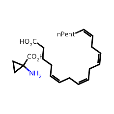 CCCCC/C=C\C/C=C\C/C=C\C/C=C\CCCC(=O)O.NC1(C(=O)O)CC1